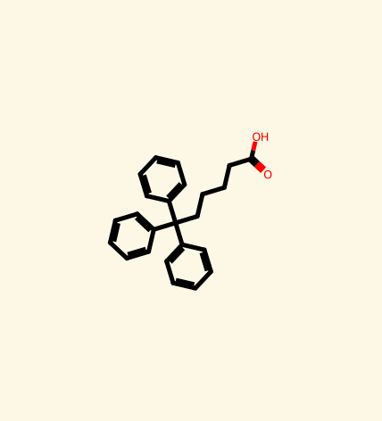 O=C(O)CCCCC(c1ccccc1)(c1ccccc1)c1ccccc1